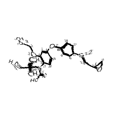 COCOc1cc(Oc2ccc(SCC3CO3)cc2)ccc1N(C(=O)O)C(C)(C)C